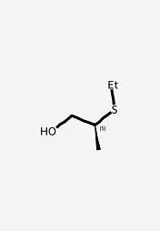 CCS[C@@H](C)CO